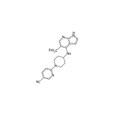 CCOC(=O)c1cnc2[nH]ccc2c1NC1CCN(c2ccc(C#N)cn2)CC1